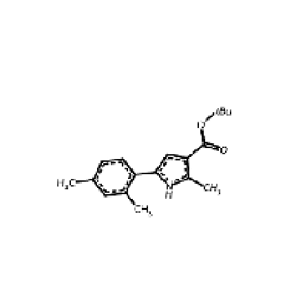 Cc1ccc(-c2cc(C(=O)OC(C)(C)C)c(C)[nH]2)c(C)c1